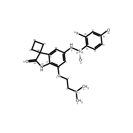 CN(C)CCOc1cc(N[S@@+]([O-])c2ccc(Cl)cc2F)cc2c1NC(=O)C21CCC1